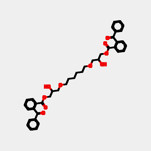 O=C(OCC(O)COCCCCCCOCC(O)COC(=O)c1ccccc1C(=O)c1ccccc1)c1ccccc1C(=O)c1ccccc1